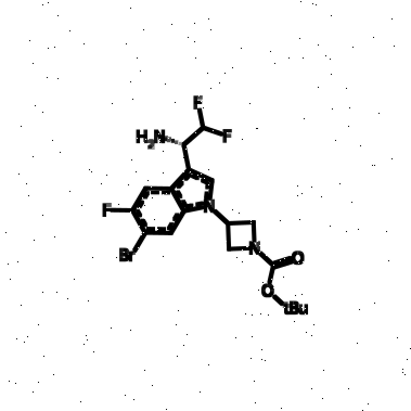 CC(C)(C)OC(=O)N1CC(n2cc([C@H](N)C(F)F)c3cc(F)c(Br)cc32)C1